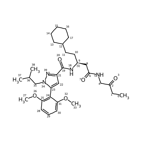 CCC(=O)CNC(=O)C[C@H](CCC1CCCCC1)NC(=O)c1cc(-c2c(OC)cccc2OC)n(CC(C)C)n1